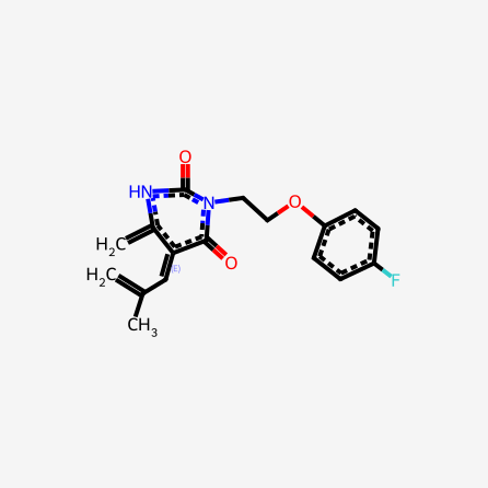 C=C(C)/C=c1\c(=C)[nH]c(=O)n(CCOc2ccc(F)cc2)c1=O